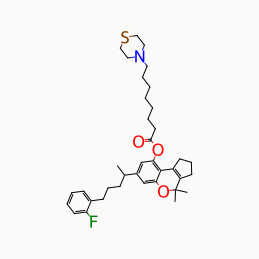 CC(CCCc1ccccc1F)c1cc(OC(=O)CCCCCCCN2CCSCC2)c2c(c1)OC(C)(C)C1=C2CCC1